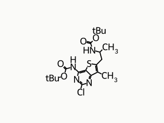 Cc1c(CC(C)NC(=O)OC(C)(C)C)sc2c(NC(=O)OC(C)(C)C)nc(Cl)nc12